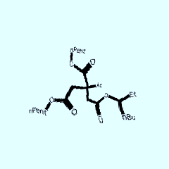 CCCCCOC(=O)CC(CC(=O)OC(CC)CCCC)(C(C)=O)C(=O)OCCCCC